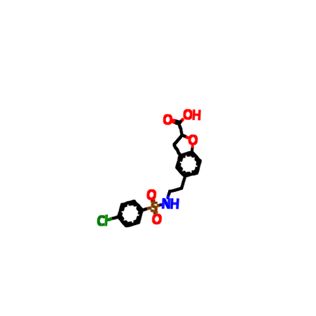 O=C(O)C1Cc2cc(CCNS(=O)(=O)c3ccc(Cl)cc3)ccc2O1